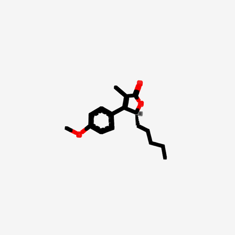 CCCCC[C@H]1OC(=O)C(C)=C1c1ccc(OC)cc1